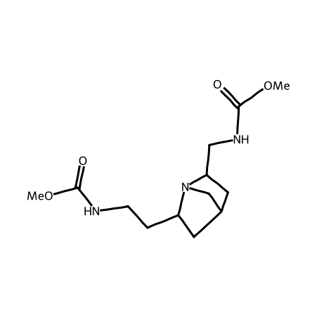 COC(=O)NCCC1CC2CC(CNC(=O)OC)N1C2